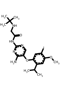 COc1cc(C(C)C)c(Oc2cnc(NC(=O)CNC(C)(C)C)nc2N)cc1I